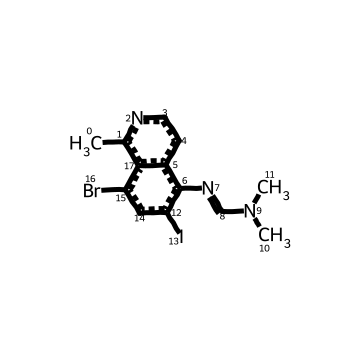 Cc1nccc2c(/N=C/N(C)C)c(I)cc(Br)c12